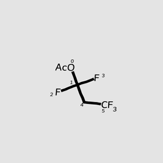 CC(=O)OC(F)(F)CC(F)(F)F